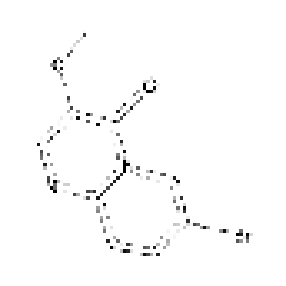 COc1cnc2ccc(Br)cn2c1=O